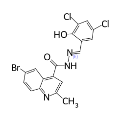 Cc1cc(C(=O)N/N=C/c2cc(Cl)cc(Cl)c2O)c2cc(Br)ccc2n1